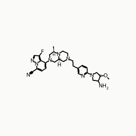 CO[C@@H]1CN(c2ccc(CCN3CCN4[C@@H](C3)CN(c3ccc(C#N)n5ncc(F)c35)C[C@H]4C)cn2)CC1N